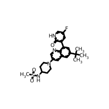 CC(C)(C)c1cc(-c2cc(F)c[nH]c2=O)c2ncc(N3CCC(NS(C)(=O)=O)CC3)cc2c1